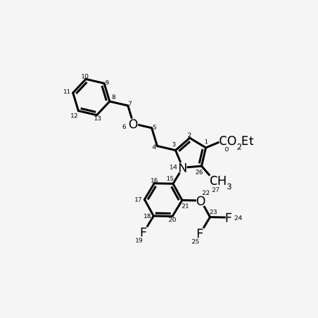 CCOC(=O)c1cc(CCOCc2ccccc2)n(-c2ccc(F)cc2OC(F)F)c1C